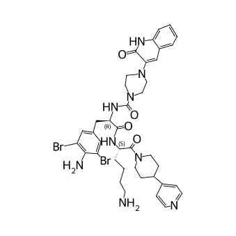 NCCCC[C@H](NC(=O)[C@@H](Cc1cc(Br)c(N)c(Br)c1)NC(=O)N1CCN(c2cc3ccccc3[nH]c2=O)CC1)C(=O)N1CCC(c2ccncc2)CC1